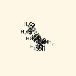 CC(=O)Oc1ccc(C=CC2=C(OC(=O)O)N3C(=O)[C@@H](NC(=O)/C(=N\OC(C)(C)C(=O)O)c4csc(N)n4)[C@H]3SC2)cc1OC(C)=O